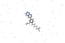 C=CCc1cc(-c2ccc3nccnc3c2)ccc1CCCCCC(C)F